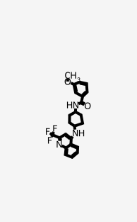 COc1cccc(C(=O)NC2CCC(Nc3cc(C(F)(F)F)nc4ccccc34)CC2)c1